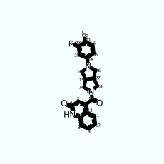 O=C(c1cc(=O)[nH]c2ccccc12)N1CC2CN(c3ccc(F)c(F)c3)CC2C1